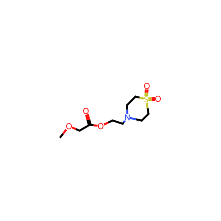 COCC(=O)OCCN1CCS(=O)(=O)CC1